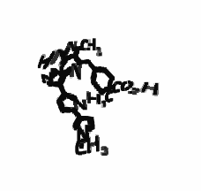 Cc1n[nH]c2c1c(CC1CCC(C)(C(=O)O)CC1)nc1c(-c3ccc(-c4ccn(C)c4)nc3)cnn12